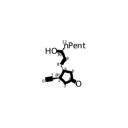 C#C[C@@H]1CC(=O)C[C@H]1C=C[C@H](O)CCCCC